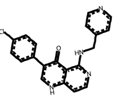 O=c1c(-c2ccc(Cl)cc2)c[nH]c2ccnc(NCc3ccncc3)c12